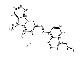 CC[n+]1cccc2c(/C=C/c3cc4c5ccccc5n(C)c4c(C)n3)cccc21.[I-]